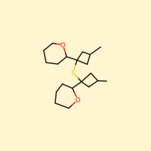 CC1CC(SC2(C3CCCCO3)CC(C)C2)(C2CCCCO2)C1